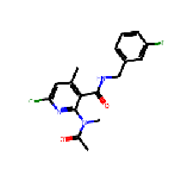 CC(=O)N(C)c1nc(Cl)cc(C)c1C(=O)NCc1cccc(F)c1